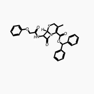 CC1=C(C(=O)OC(c2ccccc2)c2ccccc2)N2C(=O)C(NC(=O)COc3ccccc3)[C@@H]2SC1